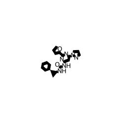 O=C(Nc1cc(-n2cccn2)nc(-c2ccco2)n1)NC1C[C@@H]1c1ccccc1